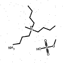 CCCC[PH](C)(CCCC)CCCC.COS(=O)(=O)O.N